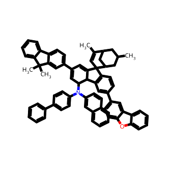 CC1=CC2(C3=CC(c4ccc5c(c4)C(C)(C)c4ccccc4-5)=CC(N(c4ccc(-c5ccccc5)cc4)c4ccc5ccccc5c4)C3c3cc(-c4ccc5oc6ccccc6c5c4)ccc32)C2CC(C)CC1C2